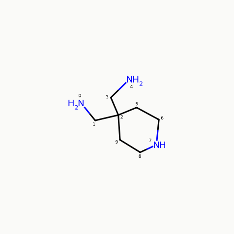 NCC1(CN)CCNCC1